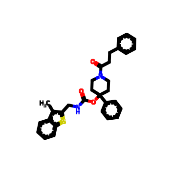 Cc1c(CNC(=O)OC2(c3ccccc3)CCN(C(=O)CCc3ccccc3)CC2)sc2ccccc12